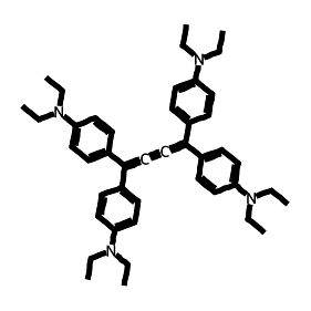 CCN(CC)c1ccc(C(=C=C=C(c2ccc(N(CC)CC)cc2)c2ccc(N(CC)CC)cc2)c2ccc(N(CC)CC)cc2)cc1